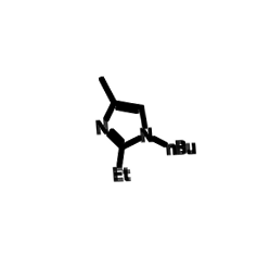 CCCCn1cc(C)nc1CC